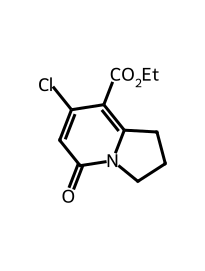 CCOC(=O)c1c(Cl)cc(=O)n2c1CCC2